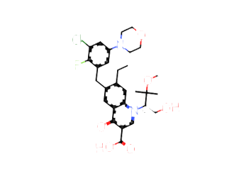 CCc1cc2c(cc1Cc1cc(N3CCOCC3)cc(Cl)c1F)c(=O)c(C(=O)O)cn2[C@H](CO)C(C)(C)OC